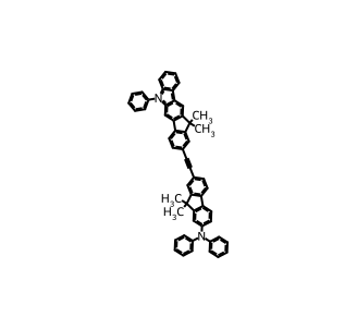 CC1(C)c2cc(C#Cc3ccc4c(c3)C(C)(C)c3cc5c6ccccc6n(-c6ccccc6)c5cc3-4)ccc2-c2ccc(N(c3ccccc3)c3ccccc3)cc21